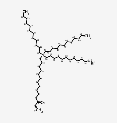 C=CC(=O)CCCCCCCCCCC[N+](CCCCCCCCCCCC)(CCCCCCCCCCCC)CCCCCCCCCCCC.[Br-]